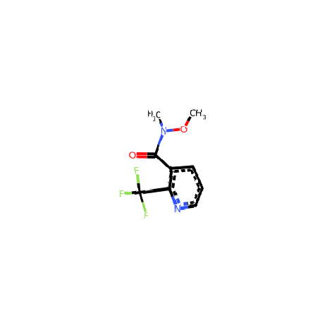 CON(C)C(=O)c1cccnc1C(F)(F)F